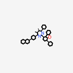 CC1=C(c2ccc(-c3ccc4ccccc4c3)cc2)N=C(c2ccc(-c3ccccc3)c3oc4ccccc4c23)N=C(c2ccccc2)[C@@H]1C